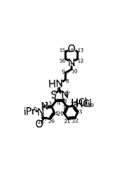 CC(C)n1nc(-c2sc(NCCCN3CCOCC3)nc2-c2ccccc2)ccc1=O.Cl.Cl